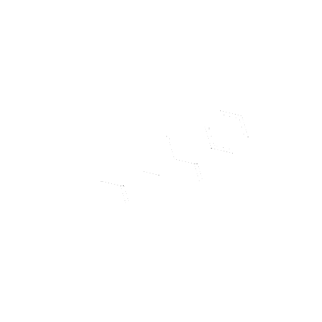 CCC(=O)OCC(N)C(=O)c1ccccc1